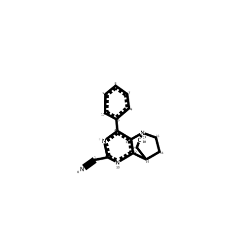 N#Cc1nc(-c2ccccc2)c2c(n1)C1CCN2CC1